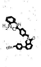 CC(C)(C)c1ccc(-c2cccc3c2CN(Cc2ccc(C(=O)Nc4ccccc4N)cc2)C3=O)cc1